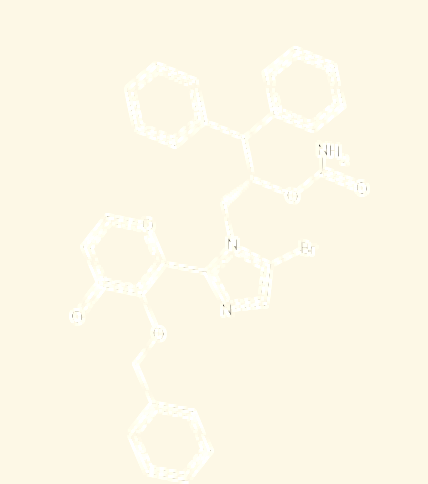 NC(=O)O[C@H](Cn1c(Br)cnc1-c1occc(=O)c1OCc1ccccc1)C(c1ccccc1)c1ccccc1